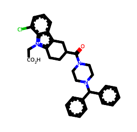 O=C(O)Cn1c2c(c3cccc(Cl)c31)CC(C(=O)N1CCN(C(c3ccccc3)c3ccccc3)CC1)CC2